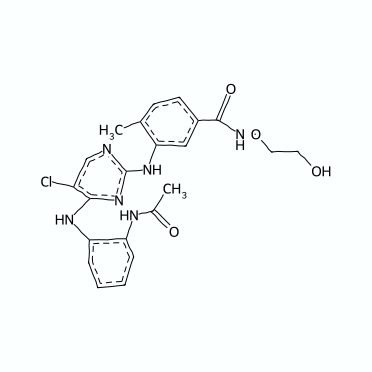 CC(=O)Nc1ccccc1Nc1nc(Nc2cc(C(=O)NOCCO)ccc2C)ncc1Cl